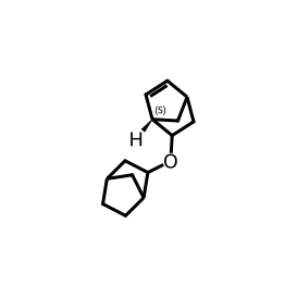 C1=C[C@@H]2CC1CC2OC1CC2CCC1C2